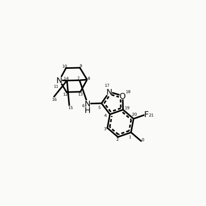 Cc1ccc2c(NC3C4CCN(CC4)C3(C)C)noc2c1F